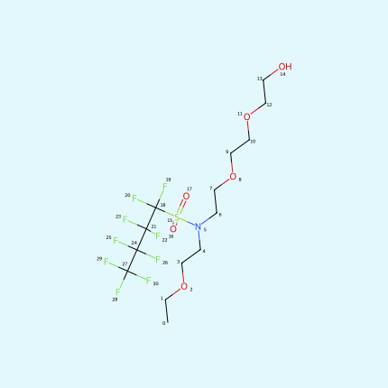 CCOCCN(CCOCCOCCO)S(=O)(=O)C(F)(F)C(F)(F)C(F)(F)C(F)(F)F